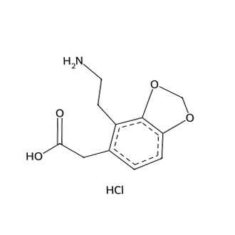 Cl.NCCc1c(CC(=O)O)ccc2c1OCO2